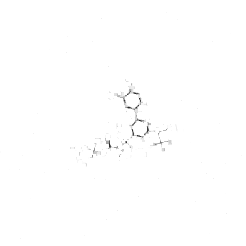 CN(C(=O)OC(C)(C)C)C(C)(C)c1cc(-c2ccc(F)c(Cl)c2)nc(C(O)C(F)(F)F)c1